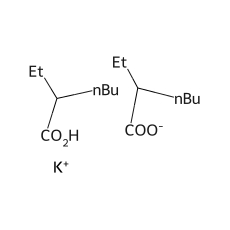 CCCCC(CC)C(=O)O.CCCCC(CC)C(=O)[O-].[K+]